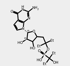 CCC(CC)(CC1O[C@@H](n2ccc3c(=O)[nH]c(N)nc32)[C@H](O)C1O)OP(=O)(O)C(O)(CC)CC